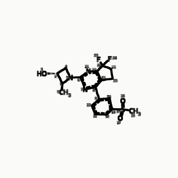 C[C@H]1[C@H](O)CN1c1nc(-c2cccc(S(C)(=O)=O)c2)c2c(n1)C(F)(F)CC2